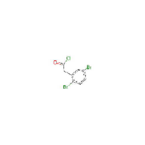 O=C(Cl)Cc1cc(Br)ccc1Br